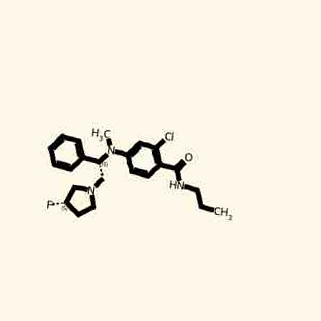 CCCNC(=O)c1ccc(N(C)[C@H](CN2CC[C@H](F)C2)c2ccccc2)cc1Cl